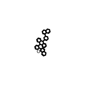 C1=CC2Oc3c(ccc4c3C=CCC4)C2C(C2c3ccccc3C(C3=CCCC(C4=CCCC5=C4C=CCC5)C3)C3C=CC=CC23)=C1